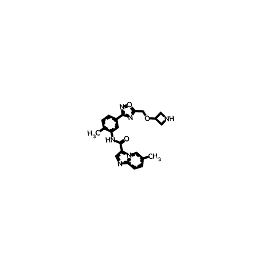 Cc1ccc2ncc(C(=O)Nc3cc(-c4noc(COC5CNC5)n4)ccc3C)n2c1